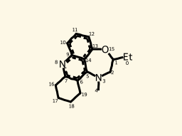 CCC1CN(C)c2c3c(nc4cccc(c24)O1)CCCC3